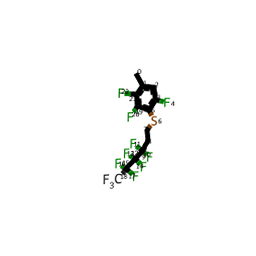 Cc1cc(F)c(SCCC(F)(F)C(F)(F)C(F)(F)C(F)(F)F)c(F)c1F